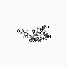 CCCCON=C(C(=O)NC1C(=O)N2CC(OC)(C(=O)OCc3ccc([N+](=O)[O-])cc3)CS[C@H]12)c1csc(NC=O)n1